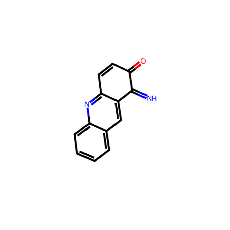 N=C1C(=O)C=Cc2nc3ccccc3cc21